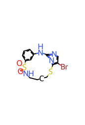 O=S1(=O)NCCCCSc2nc(ncc2Br)Nc2cccc1c2